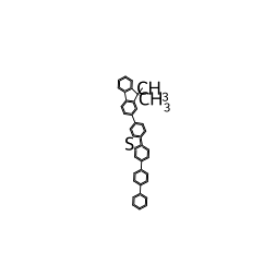 CC1(C)c2ccccc2-c2ccc(-c3ccc4c(c3)sc3cc(-c5ccc(-c6ccccc6)cc5)ccc34)cc21